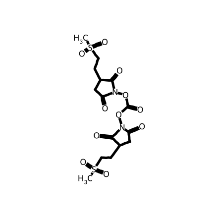 CS(=O)(=O)CCC1CC(=O)N(OC(=O)ON2C(=O)CC(CCS(C)(=O)=O)C2=O)C1=O